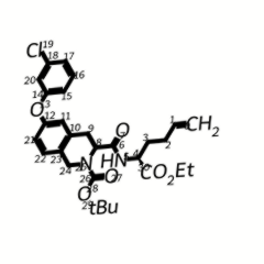 C=CCC[C@H](NC(=O)C1Cc2cc(Oc3cccc(Cl)c3)ccc2CN1C(=O)OC(C)(C)C)C(=O)OCC